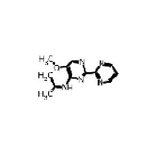 COc1cnc(-c2ncccn2)nc1NC(C)C